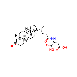 CC(CCC(=O)NC(CC(=O)O)C(=O)O)[C@H]1CC[C@H]2[C@@H]3CC[C@@H]4C[C@H](O)CC[C@]4(C)[C@H]3CC[C@]12C